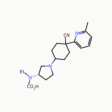 CCN(C(=O)O)[C@H]1CCN(C2CCC(C#N)(c3cccc(C)n3)CC2)C1